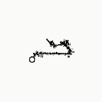 CCCCCC1=CN2C(=O)c3cc(OC)c(OCCCCCOc4cc5c(cc4OC)C(=O)N4C=C(C)C[C@H]4[C@H](O)N5C(=O)OCc4ccc(NC(=O)[C@H](C)NC(=O)[C@@H](NC(=O)CCOCCOCCOCCOCCOCCOCCOCCOCCNC(=O)CCN5C(=O)CC(SC(CC)(CC)CCC6CCCCCCCCCCCCCC6)C5=O)C(C)C)cc4)cc3N=C[C@@H]2C1